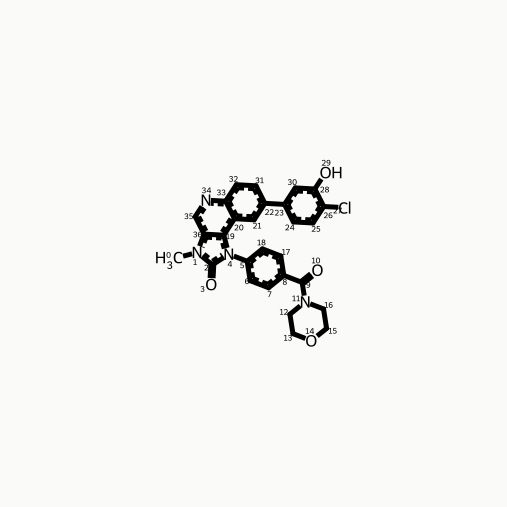 Cn1c(=O)n(-c2ccc(C(=O)N3CCOCC3)cc2)c2c3cc(-c4ccc(Cl)c(O)c4)ccc3ncc21